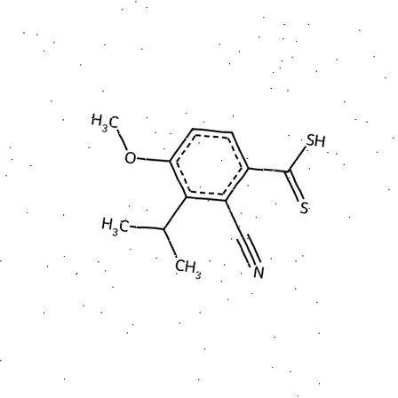 COc1ccc(C(=S)S)c(C#N)c1C(C)C